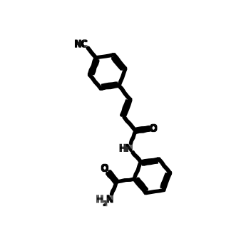 N#Cc1ccc(C=CC(=O)Nc2ccccc2C(N)=O)cc1